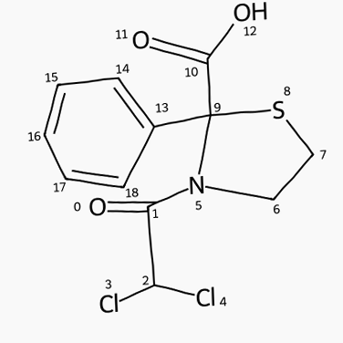 O=C(C(Cl)Cl)N1CCSC1(C(=O)O)c1ccccc1